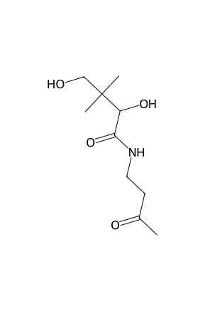 CC(=O)CCNC(=O)C(O)C(C)(C)CO